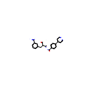 COC(=O)C(Cc1cccc(C(=N)N)c1)C(C)NC(=O)c1ccc(-c2ccncc2)cc1